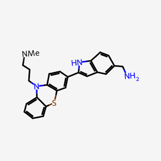 CNCCCN1c2ccccc2Sc2cc(-c3cc4cc(CN)ccc4[nH]3)ccc21